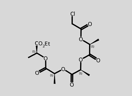 CCOC(=O)[C@H](C)OC(=O)[C@H](C)OC(=O)[C@H](C)OC(=O)[C@H](C)OC(=O)CCl